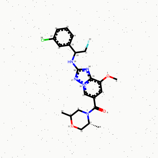 COc1cc(C(=O)N2CC(C)OC[C@H]2C)cn2nc(NC(CF)c3cccc(Cl)c3)nc12